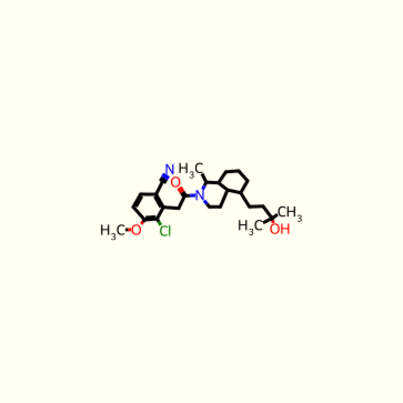 COc1ccc(C#N)c(CC(=O)N2CCC3C(CCC(C)(C)O)CCCC3C2C)c1Cl